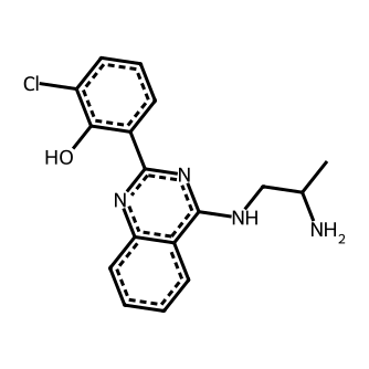 CC(N)CNc1nc(-c2cccc(Cl)c2O)nc2ccccc12